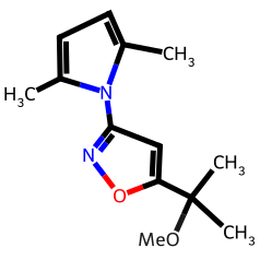 COC(C)(C)c1cc(-n2c(C)ccc2C)no1